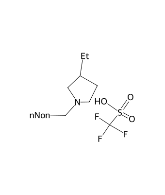 CCCCCCCCCCN1CCC(CC)C1.O=S(=O)(O)C(F)(F)F